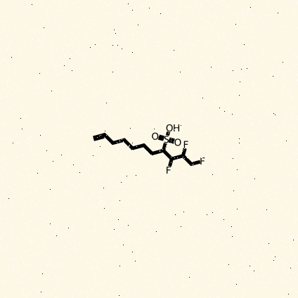 C=CCCCCCC(C(F)C(F)CF)S(=O)(=O)O